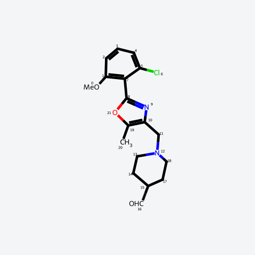 COc1cccc(Cl)c1-c1nc(CN2CCC(C=O)CC2)c(C)o1